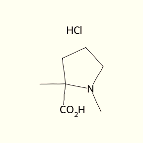 CN1CCCC1(C)C(=O)O.Cl